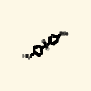 COc1ccc(S(=O)(=O)c2ccc(C(=O)O)cc2)cn1